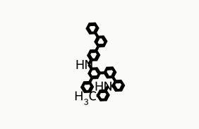 CC1C=C(Nc2ccccc2-c2cccc(C3=CC(Nc4ccc(-c5cccc(-c6ccccc6)c5)cc4)CC(c4ccccc4)=C3)c2)C=CC1